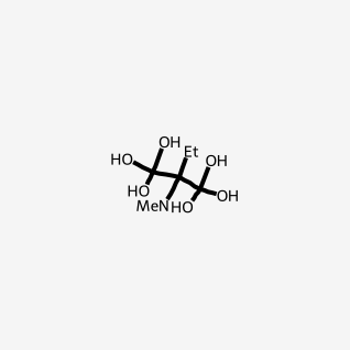 CCC(NC)(C(O)(O)O)C(O)(O)O